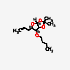 C=CC[C@H]1O[C@@H]2OC(C)(C)OC2[C@H]1OCCCC